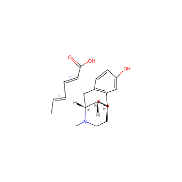 C/C=C/C=C/C(=O)O.CN1CC[C@]23CCCC[C@H]2[C@H]1Cc1ccc(O)cc13